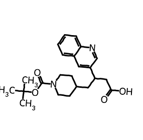 CC(C)(C)OC(=O)N1CCC(CC(CC(=O)O)c2cnc3ccccc3c2)CC1